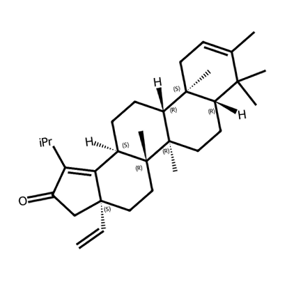 C=C[C@@]12CC[C@]3(C)[C@H](CC[C@@H]4[C@@]5(C)CC=C(C)C(C)(C)[C@@H]5CC[C@]43C)C1=C(C(C)C)C(=O)C2